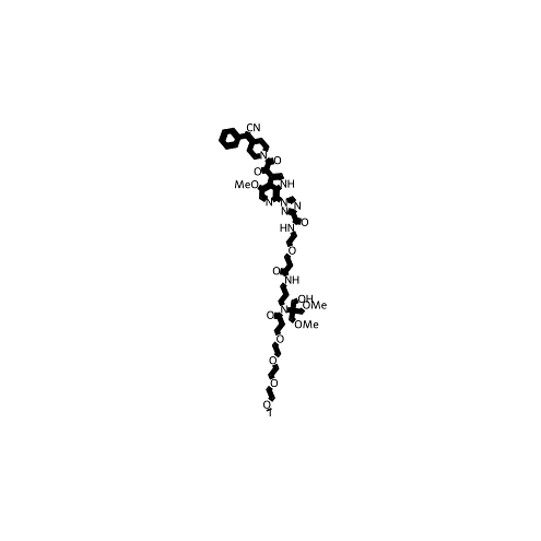 COCC(CO)(COC)N(CCCNC(=O)CCOCCNC(=O)c1ncn(-c2ncc(OC)c3c(C(=O)C(=O)N4CCC(=C(C#N)c5ccccc5)CC4)c[nH]c23)n1)C(=O)CCOCCOCCOCCOI